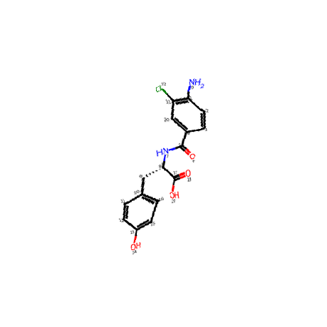 Nc1ccc(C(=O)N[C@@H](Cc2ccc(O)cc2)C(=O)O)cc1Cl